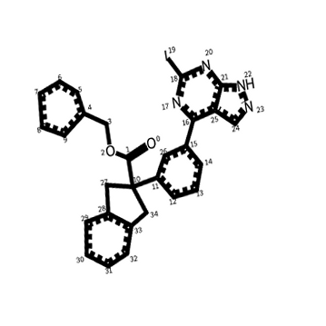 O=C(OCc1ccccc1)C1(c2cccc(-c3nc(I)nc4[nH]ncc34)c2)Cc2ccccc2C1